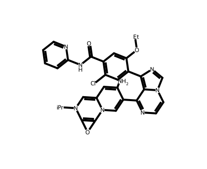 CCOc1cc(C(=O)Nc2ccccn2)c(Cl)cc1-c1ncn2ccnc(-c3cn4c5oc=5n(C(C)C)cc4cc3N)c12